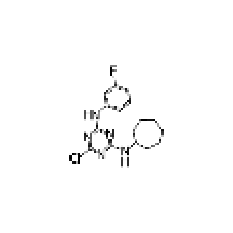 Fc1cccc(Nc2nc(Cl)nc(NC3CCCCCC3)n2)c1